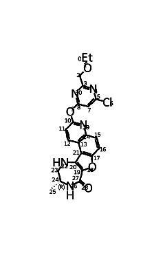 CCOCc1nc(Cl)cc(Oc2ccc3c(ccc4oc5c(c43)NC[C@@H](C)NC5=O)n2)n1